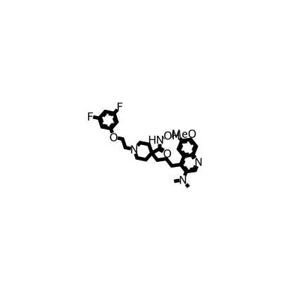 COc1ccc2ncc(N(C)C)c(CCCC3(C(=O)NO)CCN(CCOc4cc(F)cc(F)c4)CC3)c2c1